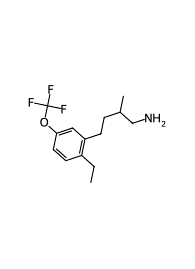 CCc1ccc(OC(F)(F)F)cc1CCC(C)CN